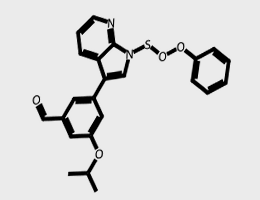 CC(C)Oc1cc(C=O)cc(-c2cn(SOOc3ccccc3)c3ncccc23)c1